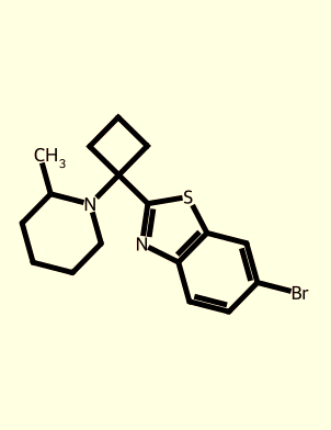 CC1CCCCN1C1(c2nc3ccc(Br)cc3s2)CCC1